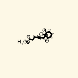 COC(=O)CCC#CCC1(Cl)C(=O)CCCC1=O